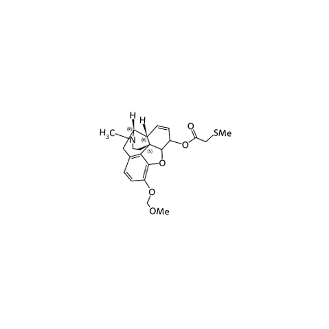 COCOc1ccc2c3c1OC1C(OC(=O)CSC)C=C[C@H]4[C@@H](C2)N(C)CC[C@]314